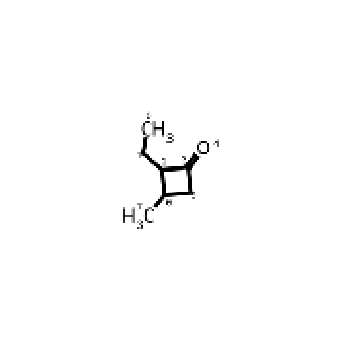 CCC1C(=O)CC1C